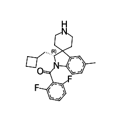 Cc1ccc2c(c1)C1(CCNCC1)[C@@H](CC1CCC1)N2C(=O)c1c(F)cccc1F